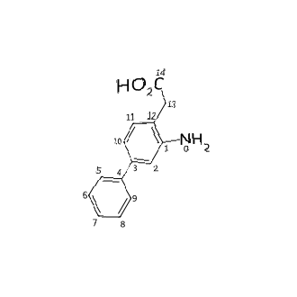 Nc1cc(-c2ccccc2)ccc1CC(=O)O